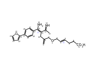 C=C(COC/C=C/CCC(=O)O)C/C(C(C)=N)=C(/N)c1ccc(-c2ccco2)cc1